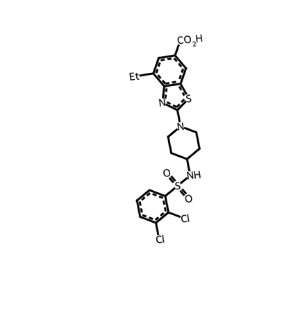 CCc1cc(C(=O)O)cc2sc(N3CCC(NS(=O)(=O)c4cccc(Cl)c4Cl)CC3)nc12